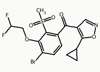 CS(=O)(=O)c1c(C(=O)c2cnoc2C2CC2)ccc(Br)c1OCC(F)F